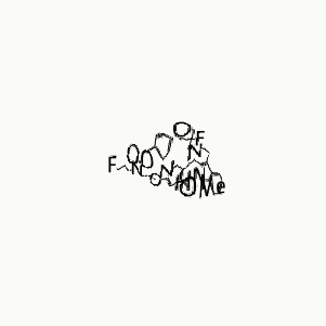 COc1cc(OCCN(CCCF)C(=O)OCc2ccccc2)ncc1C1c2[nH]c3ccccc3c2CCN1CC1(F)COC1